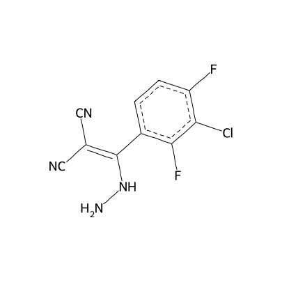 N#CC(C#N)=C(NN)c1ccc(F)c(Cl)c1F